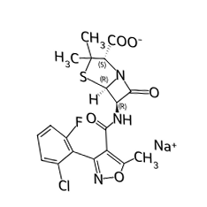 Cc1onc(-c2c(F)cccc2Cl)c1C(=O)N[C@@H]1C(=O)N2[C@@H]1SC(C)(C)[C@@H]2C(=O)[O-].[Na+]